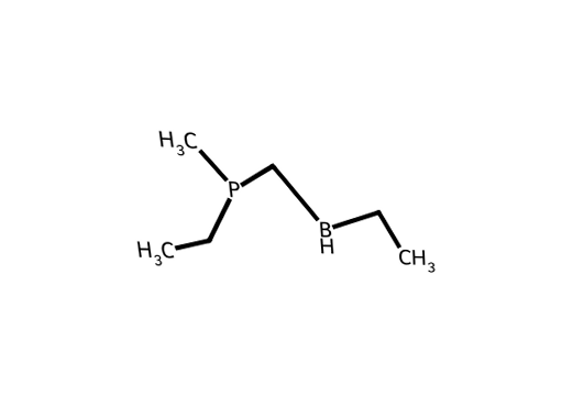 CCBCP(C)CC